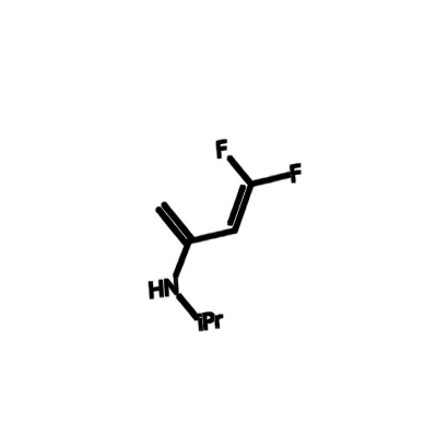 C=C(C=C(F)F)NC(C)C